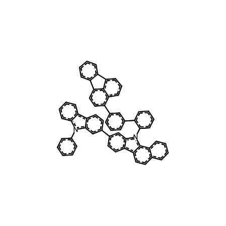 c1ccc(-n2c3ccccc3c3ccc(-c4ccc5c6ccc7ccccc7c6n(-c6ccccc6-c6cccc(-c7ccc8c9c(cccc79)-c7ccccc7-8)c6)c5c4)cc32)cc1